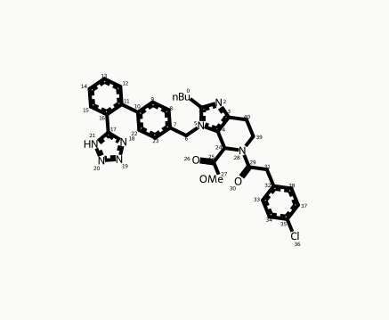 CCCCc1nc2c(n1Cc1ccc(-c3ccccc3-c3nnn[nH]3)cc1)C(C(=O)OC)N(C(=O)Cc1ccc(Cl)cc1)CC2